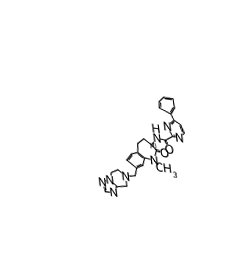 CN1C(=O)[C@H](NC(=O)c2nccc(-c3ccccc3)n2)CCc2ccc(CN3CCn4ncnc4C3)cc21